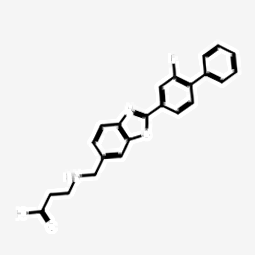 O=C(O)CCNCc1ccc2nc(-c3ccc(-c4ccccc4)c(F)c3)oc2c1